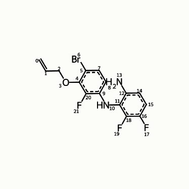 C=CCOc1c(Br)ccc(Nc2c(N)ccc(F)c2F)c1F